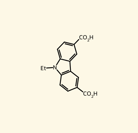 CCn1c2ccc(C(=O)O)cc2c2cc(C(=O)O)ccc21